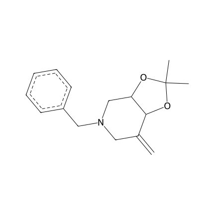 C=C1CN(Cc2ccccc2)CC2OC(C)(C)OC12